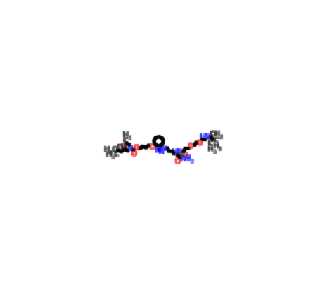 C=C(NCCOCCOCCC(=O)N[C@@H](CCCCn1nnc2c1CCCCCC2OCCCCOC(=O)N1CC(C)OC(CC(C)(C)C)C1)C(N)=O)C(C)C